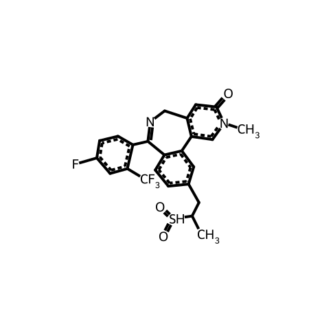 CC(Cc1ccc2c(c1)-c1cn(C)c(=O)cc1CN=C2c1ccc(F)cc1C(F)(F)F)[SH](=O)=O